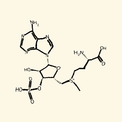 C[S+](CC[C@H](N)C(=O)O)C[C@H]1O[C@@H](n2cnc3c(N)ncnc32)[C@H](O)[C@@H]1OS(=O)(=O)O